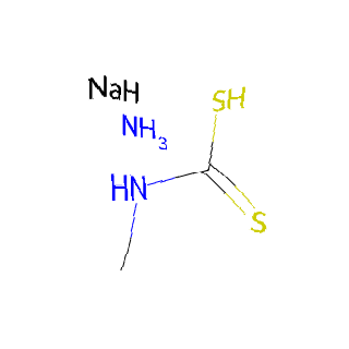 CNC(=S)S.N.[NaH]